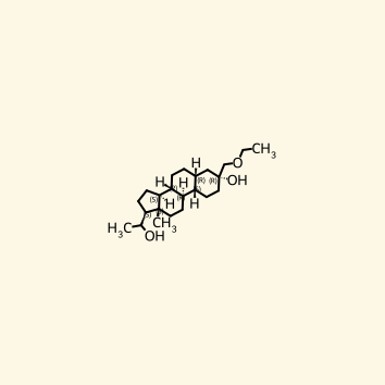 CCOC[C@@]1(O)CC[C@H]2[C@H](CC[C@@H]3[C@@H]2CC[C@]2(C)[C@@H](C(C)O)CC[C@@H]32)C1